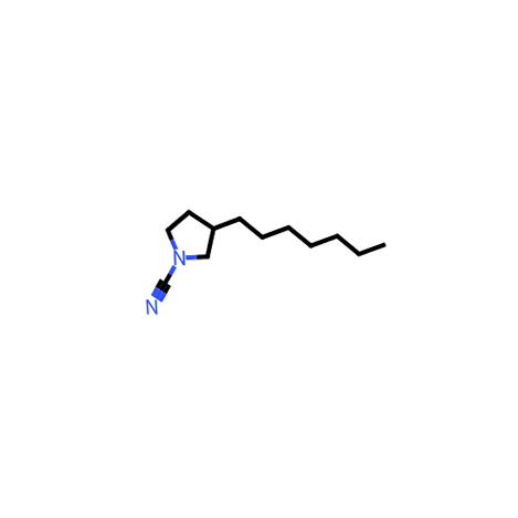 CCCCCCCC1CCN(C#N)C1